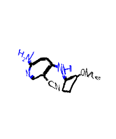 COC1CCC1Nc1cc(N)ncc1C#N